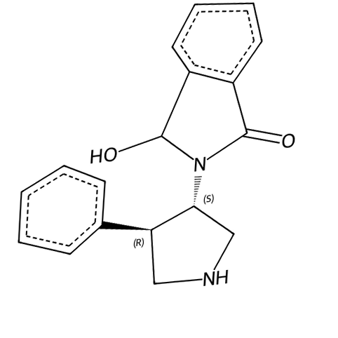 O=C1c2ccccc2C(O)N1[C@@H]1CNC[C@H]1c1ccccc1